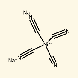 N#[C][Ni-2]([C]#N)([C]#N)[C]#N.[Na+].[Na+]